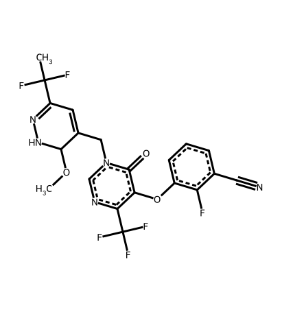 COC1NN=C(C(C)(F)F)C=C1Cn1cnc(C(F)(F)F)c(Oc2cccc(C#N)c2F)c1=O